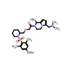 CCCCC1c2ccc(CN(C)C)n2CCN1C(=O)COCC1CCCCN1S(=O)(=O)c1c(C)cc(OC)cc1C